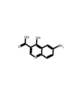 Bc1ccc2ncc(C(=O)O)c(O)c2c1